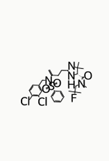 C=C(CCC1=NC(C)(C)[C@H](C(=O)N(C)CC(C)(C)F)N1)N(Cc1ccc(Cl)c(Cl)c1)S(=O)(=O)c1ccccc1